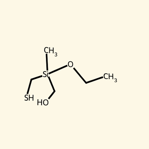 CCO[Si](C)(CO)CS